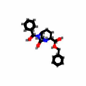 O=C(OCc1ccccc1)C1CCC2CN1C(=O)N2C(=O)c1ccccc1